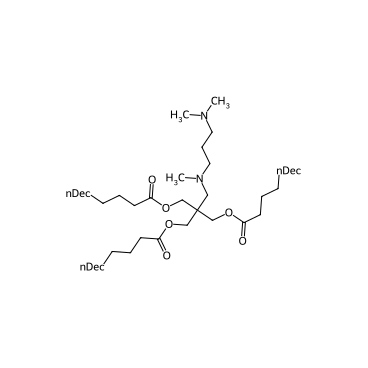 CCCCCCCCCCCCCC(=O)OCC(COC(=O)CCCCCCCCCCCCC)(COC(=O)CCCCCCCCCCCCC)CN(C)CCCN(C)C